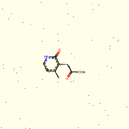 COC(=O)Cc1c(C)cc[nH]c1=O